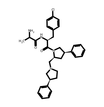 CC(N)C(=O)N[C@@H](Cc1ccc(Cl)cc1)C(=O)N1C[C@@H](c2ccccc2)C[C@H]1CN1CC[C@@H](c2ccccc2)C1